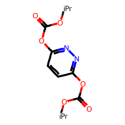 CC(C)OC(=O)Oc1ccc(OC(=O)OC(C)C)nn1